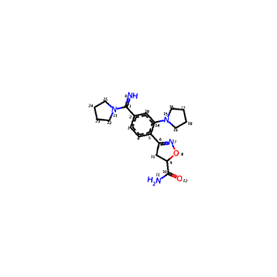 N=C(c1ccc(C2=NOC(C(N)=O)C2)c(N2CCCC2)c1)N1CCCC1